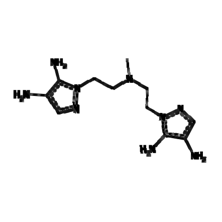 CN(CCn1ncc(N)c1N)CCn1ncc(N)c1N